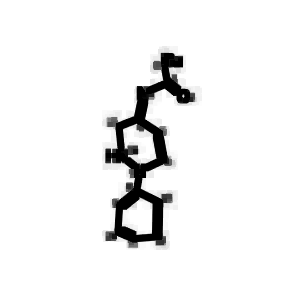 CCC(C)C(=O)N=C1C=CN(c2ccccc2)NC1